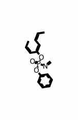 C=NP(=O)(OC(/C=C\C)=C/C=C\C)Oc1ccccc1